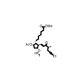 CCC#CC[C@H](C)C(=O)/C=C/[C@@H]1[C@@H](CCCCCCC(=O)OC)[C@@H](OC(C)=O)C[C@H]1OPI